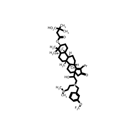 CC(C)C1=C2[C@H]3CC[C@@H]4[C@@]5(C)CC[C@H](OC(=O)CC(C)(C)C(=O)O)C(C)(C)[C@@H]5CC[C@@]4(C)[C@]3(C)CCC2(C(O)CN(CCN(C)C)Cc2cccc(OC(F)(F)F)c2)CC1=O